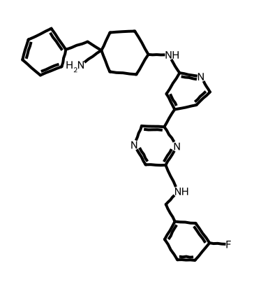 NC1(Cc2ccccc2)CCC(Nc2cc(-c3cncc(NCc4cccc(F)c4)n3)ccn2)CC1